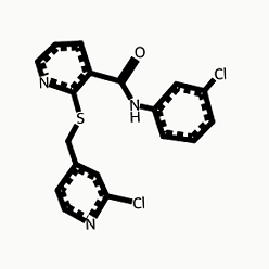 O=C(Nc1cccc(Cl)c1)c1cccnc1SCc1ccnc(Cl)c1